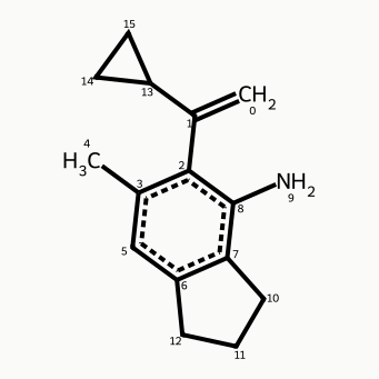 C=C(c1c(C)cc2c(c1N)CCC2)C1CC1